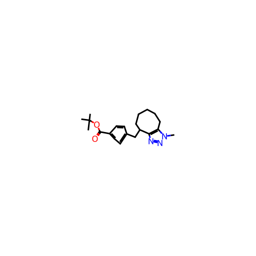 Cn1nnc2c1CCCCCC2Cc1ccc(C(=O)OC(C)(C)C)cc1